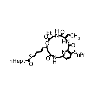 C/C=C1\NC(=O)c2nc(ccc2SCCC)CNC(=O)C[C@@H](/C=C/CCSC(=O)CCCCCCC)OC(=O)[C@H](CC)NC1=O